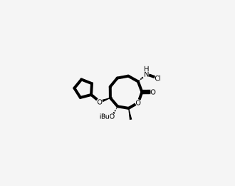 CC(C)CO[C@H]1[C@H](C)OC(=O)[C@@H](NCl)CCC[C@@H]1OC1CCCC1